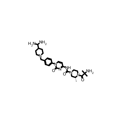 C[C@@H]1CN(C(=O)Nc2ccn(-c3ccc(CN4CCC(C(N)N)CC4)cc3)c(=O)n2)CCN1C(=O)C(C)(C)N